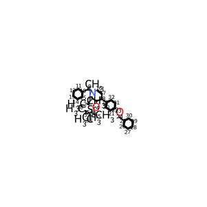 CC(C)[Si](OC1CN([C@H](C)c2ccccc2)C=CC1c1ccc(OCc2ccccc2)cc1)(C(C)C)C(C)C